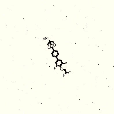 CCCC12COC(c3ccc(-c4cc(F)c(OC=C(F)F)c(F)c4)cc3)(OC1)OC2